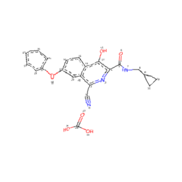 N#Cc1nc(C(=O)NCC2CC2)c(O)c2ccc(Oc3ccccc3)cc12.O=C(O)O